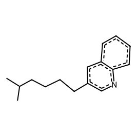 CC(C)CCCCc1cnc2ccccc2c1